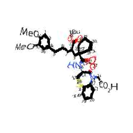 COc1ccc(CCCC(CC2(C(=O)N[C@H]3CSc4ccccc4N(CC(=O)O)C3=O)CCCC2)C(=O)OC(C)(C)C)cc1OC